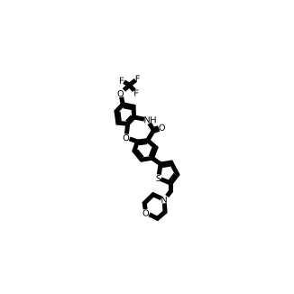 O=C1Nc2cc(OC(F)(F)F)ccc2Oc2ccc(-c3ccc(CN4CCOCC4)s3)cc21